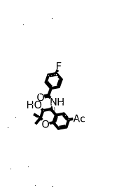 CC(=O)c1ccc2c(c1)[C@@H](NC(=O)c1ccc(F)cc1)C(O)C(C)(C)O2